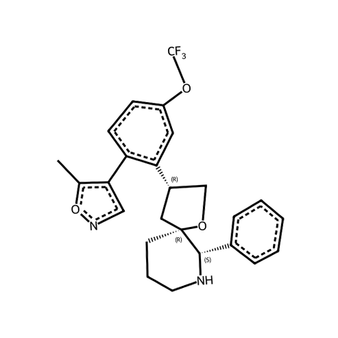 Cc1oncc1-c1ccc(OC(F)(F)F)cc1[C@@H]1CO[C@]2(CCCN[C@H]2c2ccccc2)C1